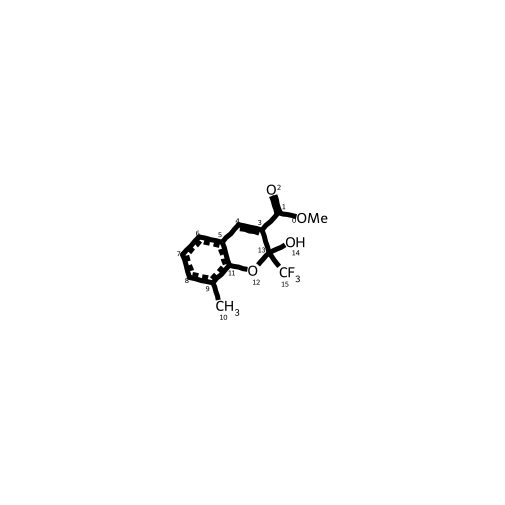 COC(=O)C1=Cc2cccc(C)c2OC1(O)C(F)(F)F